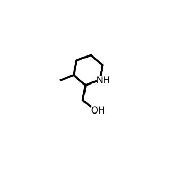 CC1CCCNC1CO